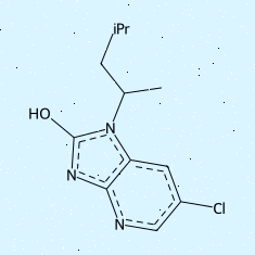 CC(C)CC(C)n1c(O)nc2ncc(Cl)cc21